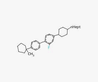 CCCCCCCC1CCC(c2ccc(-c3ccc(C4(C)CCCCC4)cc3)c(F)c2)CC1